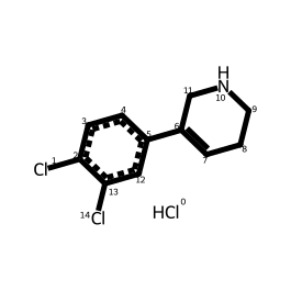 Cl.Clc1ccc(C2=CCCNC2)cc1Cl